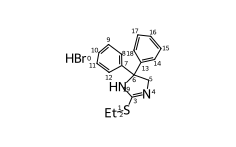 Br.CCSC1=NCC(c2ccccc2)(c2ccccc2)N1